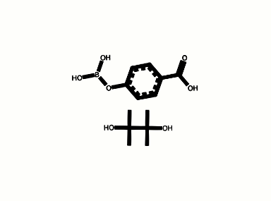 CC(C)(O)C(C)(C)O.O=C(O)c1ccc(OB(O)O)cc1